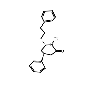 O=C1C[C@@H](c2ccccc2)C[C@H](CCCc2ccccc2)N1O